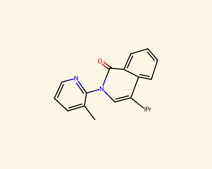 Cc1cccnc1-n1cc(C(C)C)c2ccccc2c1=O